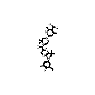 Cc1cc(N2CC(C)(C)c3nc(C(=O)N4CCN(c5cc(C)c(C(=O)O)c(C)n5)CC4(C)C)cnc32)cc(F)c1F